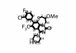 COC1CSc2c(-c3ccc(F)c(Cl)c3)c(C(F)(F)F)cc3c(N4CCNCC4)nc(=O)n(c23)C1